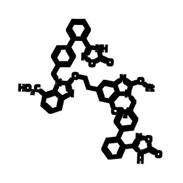 CCOc1nc2cc(CCOc3nc4cccc(C(=O)O)c4n3Cc3ccc(-c4ccccc4-c4noc(=O)[nH]4)cc3)cc(C(=O)O)c2n1Cc1ccc(-c2ccccc2-c2noc(=O)[nH]2)cc1